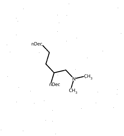 CCCCCCCCCCCCC(CCCCCCCCCC)CN(C)C